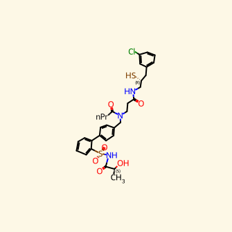 CCCC(=O)N(CCC(=O)NC[C@H](S)Cc1cccc(Cl)c1)Cc1ccc(-c2ccccc2S(=O)(=O)NC(=O)[C@H](C)O)cc1